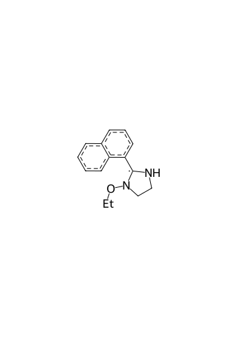 CCON1CCN[C]1c1cccc2ccccc12